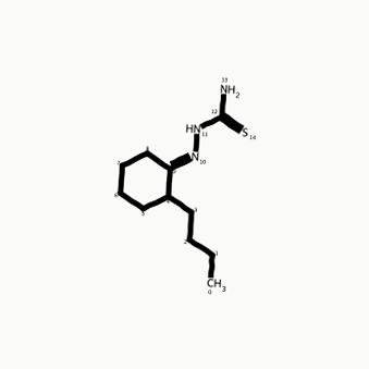 CCCCC1CCCC/C1=N\NC(N)=S